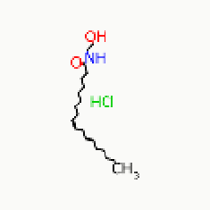 CCCCCCCC/C=C\CCCCCCCC(=O)NCCO.Cl